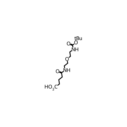 CC(C)(C)OC(=O)NCCOCCNC(=O)CCCC(=O)O